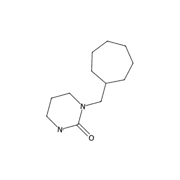 O=C1[N]CCCN1CC1CCCCCC1